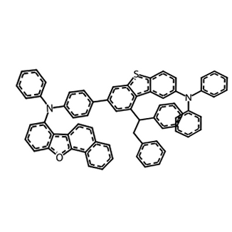 c1ccc(CC(c2ccccc2)c2cc(-c3ccc(N(c4ccccc4)c4cccc5oc6c7ccccc7ccc6c45)cc3)cc3sc4ccc(N(c5ccccc5)c5ccccc5)cc4c23)cc1